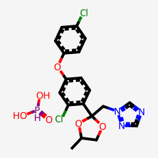 CC1COC(Cn2cncn2)(c2ccc(Oc3ccc(Cl)cc3)cc2Cl)O1.O=[PH](O)O